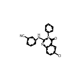 N#Cc1cccc(Nc2nc3ccc(Cl)cc3c(=O)n2-c2ccccc2)c1